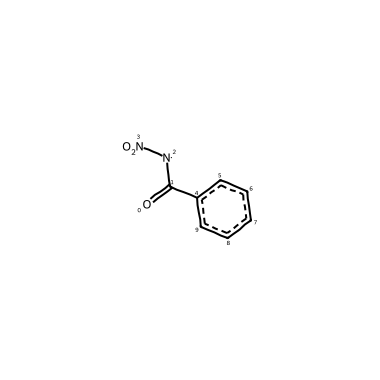 O=C([N][N+](=O)[O-])c1ccccc1